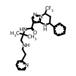 CC(C)(CNCCc1ccccn1)NC(=O)c1cnn2c1NC(c1ccccc1)CC2C(F)(F)F